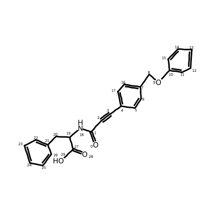 O=C(C#Cc1ccc(COc2ccccc2)cc1)NC(Cc1ccccc1)C(=O)O